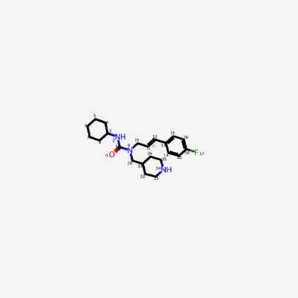 O=C(NC1CCCCC1)N(C/C=C/c1ccc(F)cc1)CC1CCNCC1